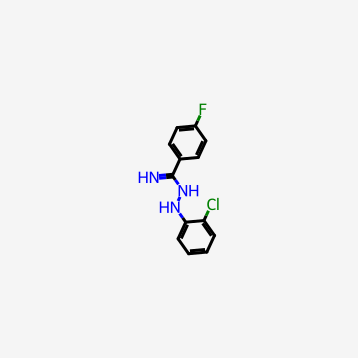 N=C(NNc1ccccc1Cl)c1ccc(F)cc1